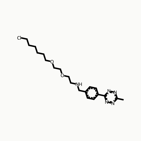 Cc1nnc(-c2ccc(CNCCOCCOCCCCCCCl)cc2)nn1